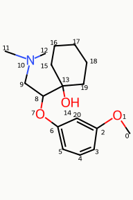 COc1cccc(OC(CN(C)C)C2(O)CCCCC2)c1